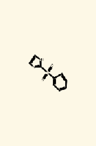 O=S(=O)(c1ccccc1)c1ncc[nH]1